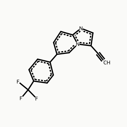 C#Cc1cnc2ccc(-c3ccc(C(F)(F)F)cc3)cn12